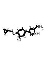 Nc1cc(-c2ccc(OCC3CC3)c(Cl)c2)n[nH]1